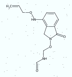 C=CCONc1cccc2c1CN(OCNC=O)C2=O